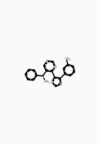 Cc1cccc(-c2ncsc2-c2n[c]ncc2[C@@H](C)c2ccccc2)c1